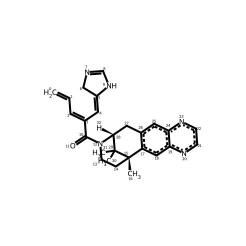 C=C/C=C(\C=C1/CN=CN1)C(=O)N1CC[C@@]2(C)c3cc4nccnc4cc3C[C@@H]1C2(C)C